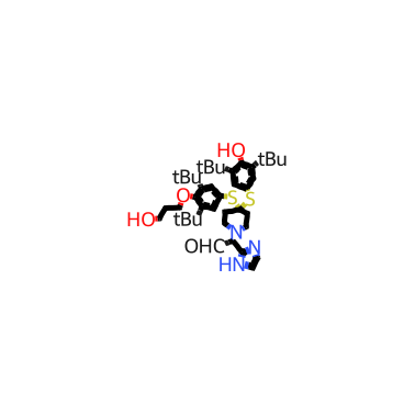 CC(C)(C)c1cc(SC2(Sc3cc(C(C)(C)C)c(OCCCO)c(C(C)(C)C)c3)CCN(C(C=O)c3ncc[nH]3)CC2)cc(C(C)(C)C)c1O